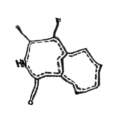 Cc1[nH]c(=O)c2ccccc2c1F